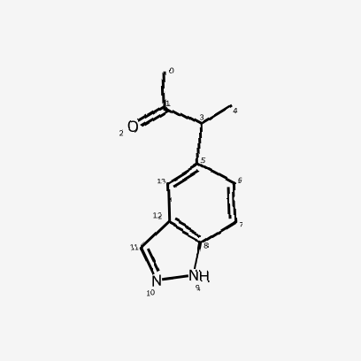 CC(=O)C(C)c1ccc2[nH]ncc2c1